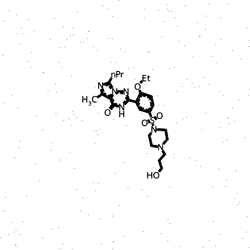 CCCc1nc(C)c2c(=O)[nH]c(-c3cc(S(=O)(=O)N4CCN(CCCO)CC4)ccc3OCC)nn12